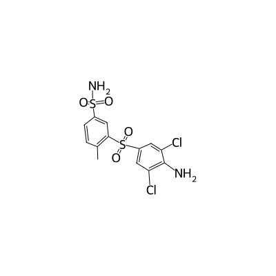 Cc1ccc(S(N)(=O)=O)cc1S(=O)(=O)c1cc(Cl)c(N)c(Cl)c1